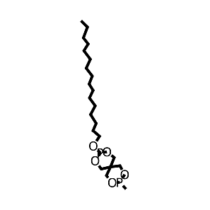 CCCCCCCCCCCCCCCCOP1OCC2(COP(C)OC2)CO1